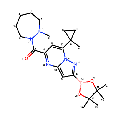 CN1CCCCCN1C(=O)c1cc(C2(C)CC2)n2nc(B3OC(C)(C)C(C)(C)O3)cc2n1